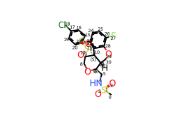 CS(=O)(=O)NC[C@H]1OCC[C@@]2(S(=O)(=O)c3ccc(Cl)cc3)c3c(F)ccc(F)c3OC[C@@H]12